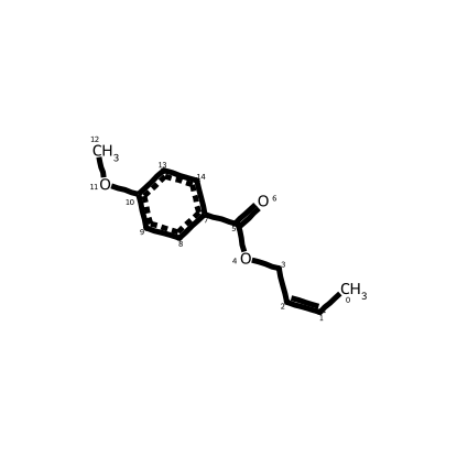 C/[C]=C\COC(=O)c1ccc(OC)cc1